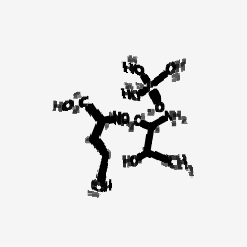 CC(O)C(N)C(=O)O.NC(CCO)C(=O)O.O=P(O)(O)O